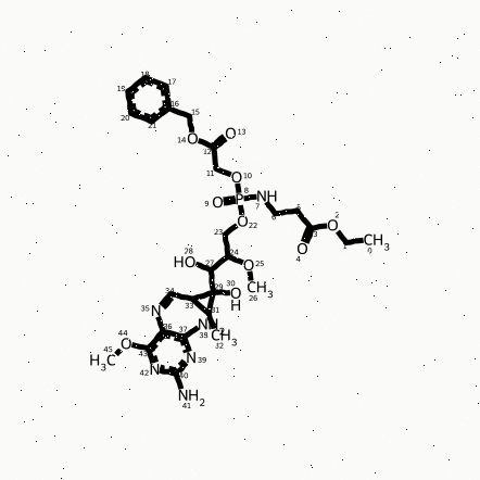 CCOC(=O)CCNP(=O)(OCC(=O)OCc1ccccc1)OCC(OC)C(O)C1(O)C(C)C1/C=N\c1c(N)nc(N)nc1OC